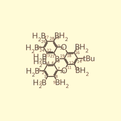 Bc1c(B)c(B)c2c(c1B)Oc1c(B)c(C(C)(C)C)c(B)c3c1B2c1c(B)c(B)c(B)c(B)c1O3